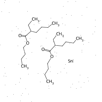 CCCCOC(=O)C(CC)CCCC.CCCCOC(=O)C(CC)CCCC.[Sn]